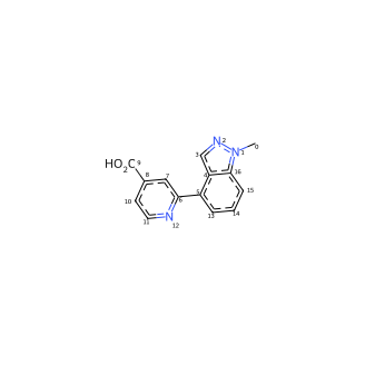 Cn1ncc2c(-c3cc(C(=O)O)ccn3)cccc21